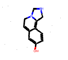 Oc1ccc2c(c1)=CCN1CNCC=21